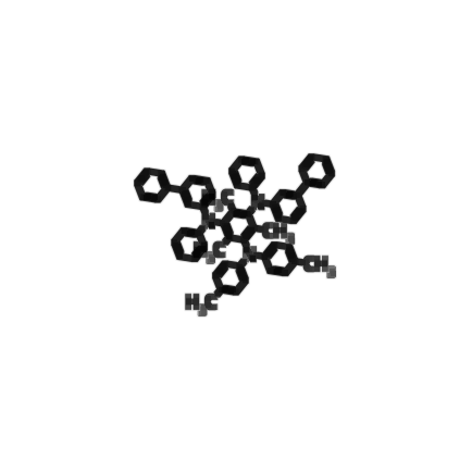 Cc1ccc(N(c2ccc(C)cc2)c2c(C)c(N(c3ccccc3)c3cccc(-c4ccccc4)c3)c(C)c(N(c3ccccc3)c3cccc(-c4ccccc4)c3)c2C)cc1